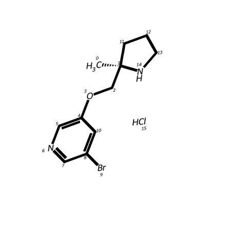 C[C@]1(COc2cncc(Br)c2)CCCN1.Cl